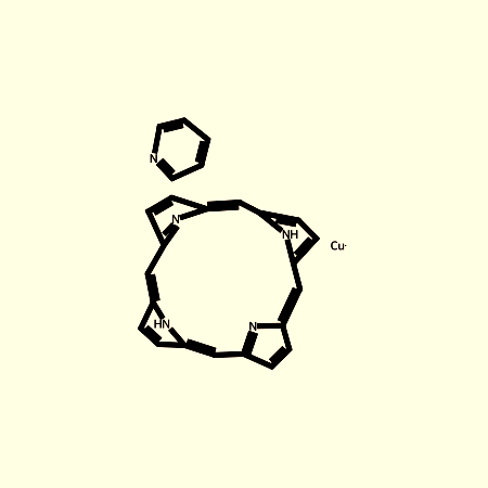 C1=Cc2cc3ccc(cc4nc(cc5ccc(cc1n2)[nH]5)C=C4)[nH]3.[Cu].c1ccncc1